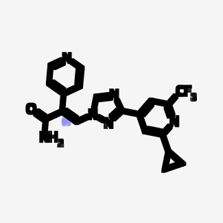 NC(=O)/C(=C/n1cnc(-c2cc(C3CC3)nc(C(F)(F)F)c2)n1)c1ccncc1